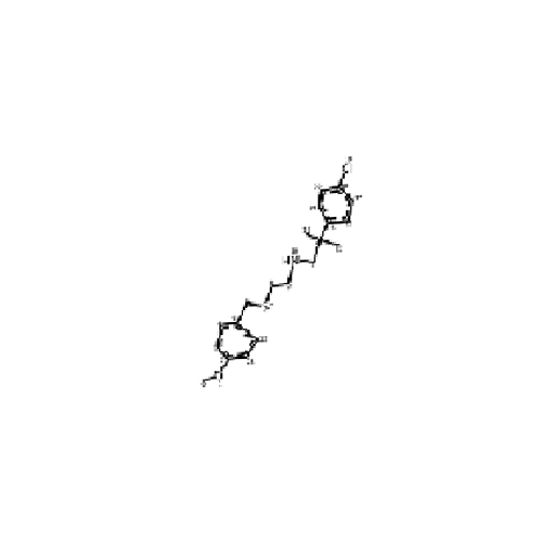 COc1ccc(CSCCNCC(C)(C)c2ccc(Cl)cc2)cc1